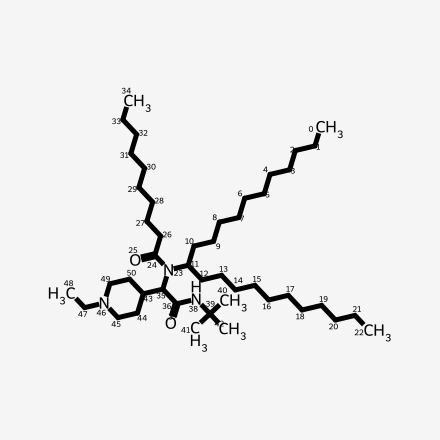 CCCCCCCCCCCC(CCCCCCCCCCC)N(C(=O)CCCCCCCCC)C(C(=O)NC(C)(C)C)C1CCN(CC)CC1